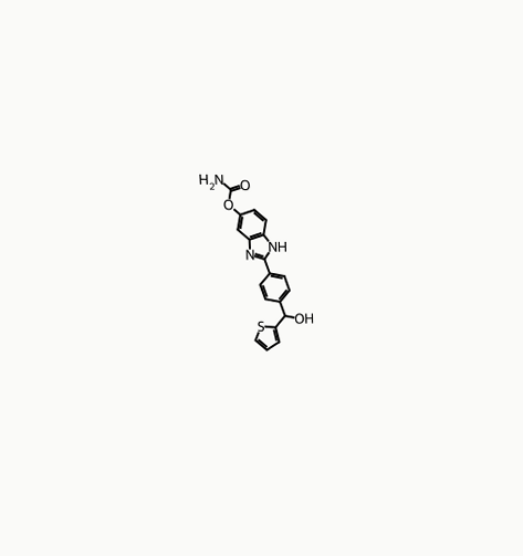 NC(=O)Oc1ccc2[nH]c(-c3ccc(C(O)c4cccs4)cc3)nc2c1